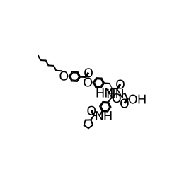 CCCCCCCOc1ccc(C(=O)Oc2ccc(C[C@H](NC(=O)c3ccc(NC(=O)C4CCCC4)cc3)C(=O)NCC(=O)O)cc2)cc1